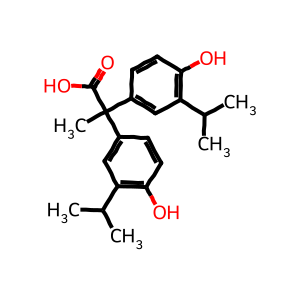 CC(C)c1cc(C(C)(C(=O)O)c2ccc(O)c(C(C)C)c2)ccc1O